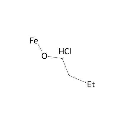 CCCC[O][Fe].Cl